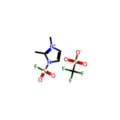 Cc1n(S(=O)(=O)F)cc[n+]1C.O=S(=O)([O-])C(F)(F)F